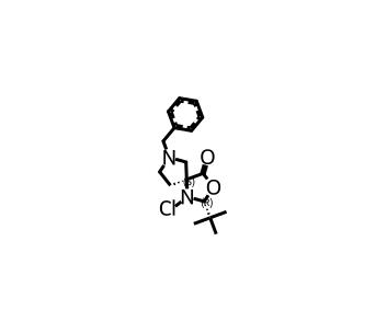 CC(C)(C)[C@H]1OC(=O)[C@@]2(CCN(Cc3ccccc3)C2)N1Cl